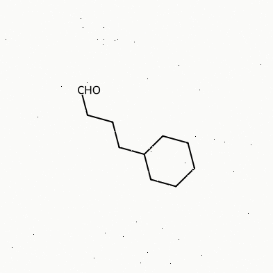 O=CCCCC1CCCCC1